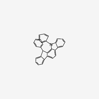 c1ccc(C2c3ccccc3-c3ccc4c5ccccc5n(-c5ccccc5)c4c32)cc1